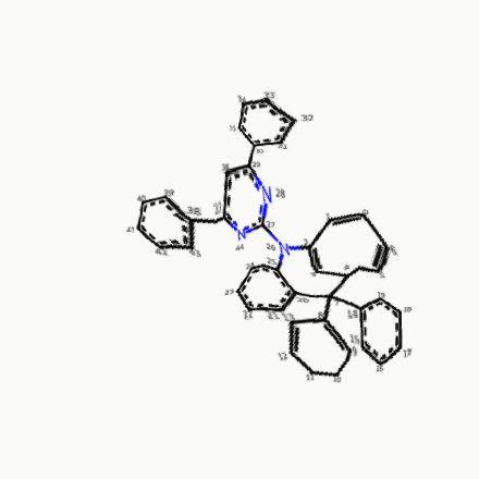 C1=CC2=CC(C=C1)C(C1=CCCC=C1)(c1ccccc1)c1ccccc1N2c1nc(-c2ccccc2)cc(-c2ccccc2)n1